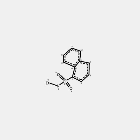 CC[N]S(=O)(=O)c1cccc2ccccc12